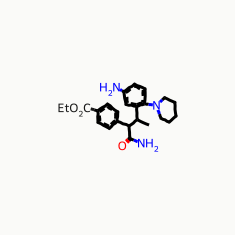 CCOC(=O)c1ccc(C(C(N)=O)C(C)c2cc(N)ccc2N2CCCCC2)cc1